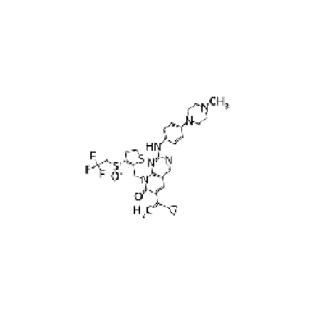 C=C(c1cc2cnc(Nc3ccc(N4CCN(C)CC4)cc3)nc2n(Cc2sccc2[S+]([O-])CC(F)(F)F)c1=O)C1CC1